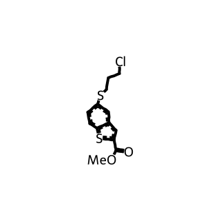 COC(=O)c1cc2cc(SCCCCl)ccc2s1